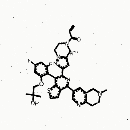 C=CC(=O)N1CCn2nc(-c3nc(-c4cnc5c(c4)CN(C)CC5)c4ccsc4c3-c3c(F)cc(F)cc3OCC(C)(C)O)cc2[C@H]1C